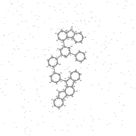 c1ccc(-c2nc(-c3cccc(-c4cccc(-n5c6ccccc6c6ccc7c8ccccc8sc7c65)c4)c3)nc(-c3cccc4oc5ccccc5c34)n2)cc1